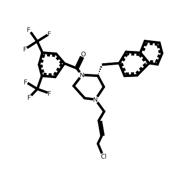 O=C(c1cc(C(F)(F)F)cc(C(F)(F)F)c1)N1CCN(CC=CCCl)C[C@H]1Cc1ccc2ccccc2c1